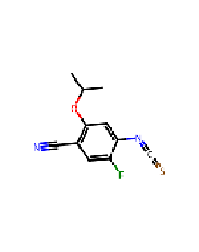 CC(C)Oc1cc(N=C=S)c(F)cc1C#N